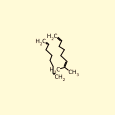 C=CCCCC=C(C)C.C=CCCCCC=C